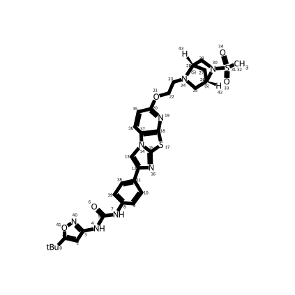 CC(C)(C)c1cc(NC(=O)Nc2ccc(-c3cn4c(n3)sc3nc(OCCN5C[C@@H]6C[C@H]5CN6S(C)(=O)=O)ccc34)cc2)no1